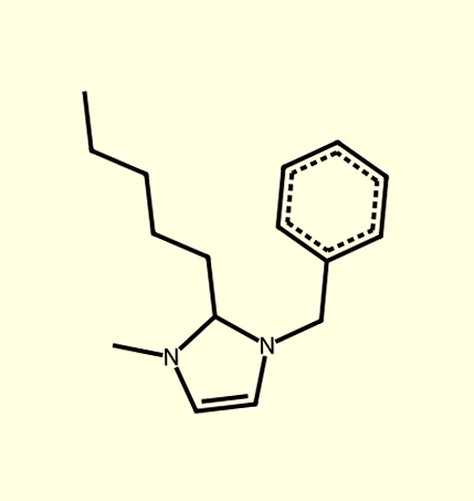 CCCCCC1N(C)C=CN1Cc1ccccc1